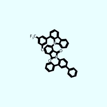 O=C1c2cccc(-n3c4ccccc4c4cccc(-c5cc(C(F)(F)F)cc(C(F)(F)F)c5)c43)c2C(=O)N1c1ccc(-c2ccccc2)cc1-c1ccccc1